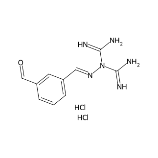 Cl.Cl.N=C(N)N(N=Cc1cccc(C=O)c1)C(=N)N